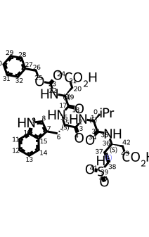 CC(C)[C@H](NC(=O)[C@H](Cc1c[nH]c2ccccc12)NC(=O)[C@H](CC(=O)O)NC(=O)OCc1ccccc1)C(=O)N[C@H](/C=C/[SH](=O)=O)CC(=O)O